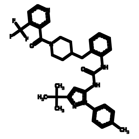 Cc1ccc(-n2nc(C(C)(C)C)cc2NC(=O)Nc2ccccc2CC2CCN(C(=O)c3cnccc3C(F)(F)F)CC2)cc1